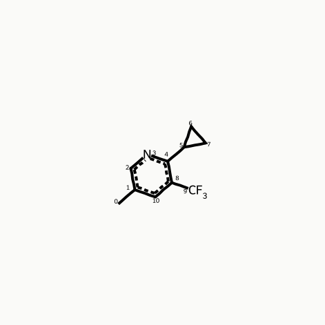 Cc1cnc(C2CC2)c(C(F)(F)F)c1